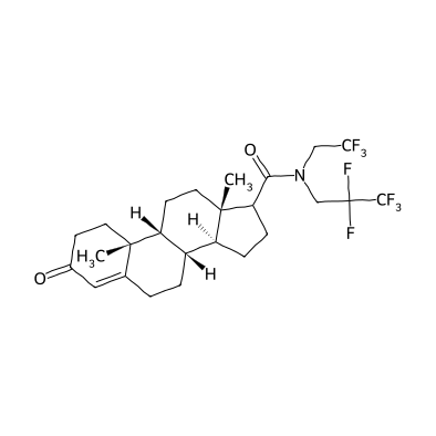 C[C@]12CCC(=O)C=C1CC[C@@H]1[C@H]2CC[C@]2(C)C(C(=O)N(CC(F)(F)F)CC(F)(F)C(F)(F)F)CC[C@@H]12